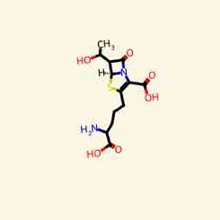 CC(O)C1C(=O)N2C(C(=O)O)=C(CCCC(N)C(=O)O)S[C@@H]12